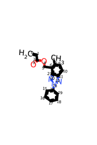 C=CC(=O)OCc1c(C)ccc2nn(-c3ccccc3)nc12